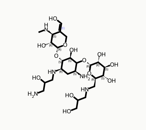 CN[C@H]1/C(=C\O)CO[C@H](O[C@H]2[C@H](NCC(O)CN)C[C@H](N)C(O[C@H]3O[C@H](CNCC(O)CO)[C@@H](O)[C@H](O)[C@H]3O)[C@@H]2O)[C@@H]1O